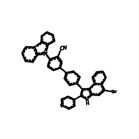 N#Cc1cc(-c2ccc(-c3c(-c4ccncc4)[nH]c4cc(Br)c5ccccc5c34)cc2)ccc1-n1c2ccccc2c2ccccc21